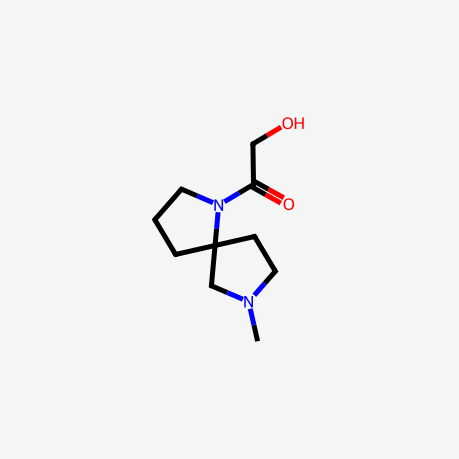 CN1CCC2(CCCN2C(=O)CO)C1